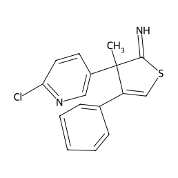 CC1(c2ccc(Cl)nc2)C(=N)SC=C1c1ccccc1